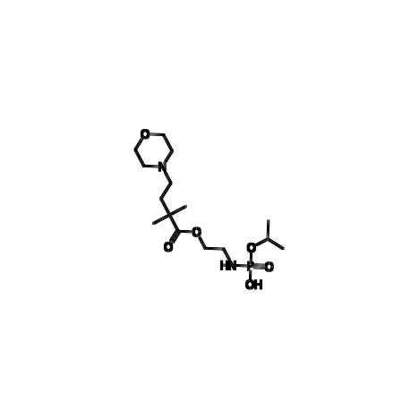 CC(C)OP(=O)(O)NCCOC(=O)C(C)(C)CCN1CCOCC1